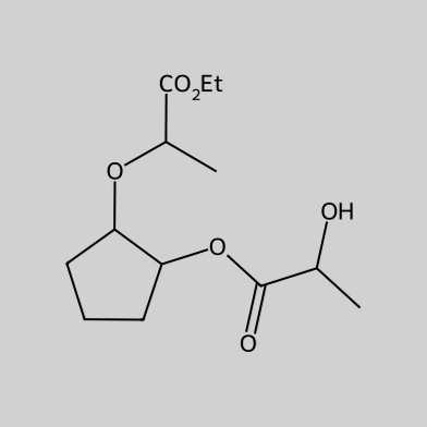 CCOC(=O)C(C)OC1CCCC1OC(=O)C(C)O